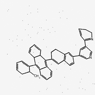 CC1CC=CC=C1C1=c2ccccc2=C(C2=Cc3ccc(-c4cncc(C5=NCCC=C5)c4)cc3CC2)C2C=CC=CC12